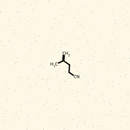 C=C(C)CCC#N